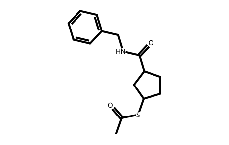 CC(=O)SC1CCC(C(=O)NCc2ccccc2)C1